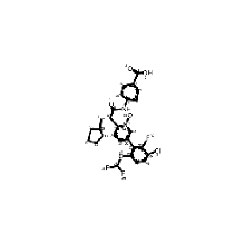 O=C(O)c1ccc(NC(=O)[C@@H](CC2CCCC2)c2ccc(-c3c(OC(F)F)ccc(Cl)c3F)c[n+]2[O-])cc1